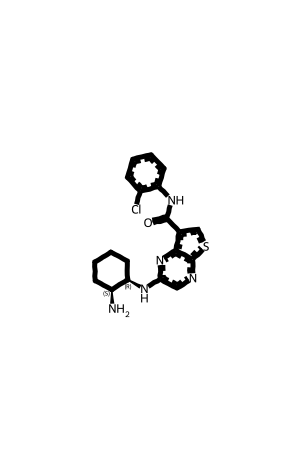 N[C@H]1CCCC[C@H]1Nc1cnc2scc(C(=O)Nc3ccccc3Cl)c2n1